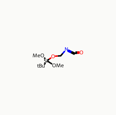 CO[Si](OC)(OCN=C=O)C(C)(C)C